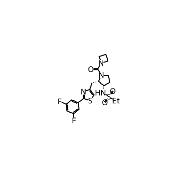 CCS(=O)(=O)N[C@H]1CCN(C(=O)N2CCC2)[C@H]1Cc1csc(-c2cc(F)cc(F)c2)n1